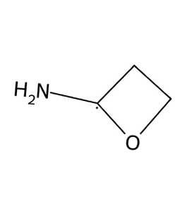 N[C]1CCO1